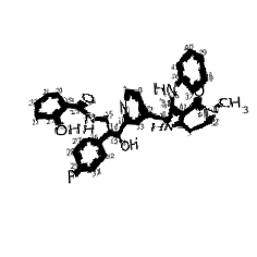 CN1CCc2[nH]c(-c3ccnc([C@@H](O)[C@H](CNC(=O)c4ccccc4O)c4ccc(F)cc4)c3)c(Nc3ccccc3)c2C1=O